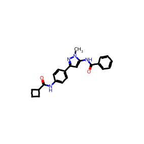 Cn1nc(-c2ccc(NC(=O)C3CCC3)cc2)cc1NC(=O)c1ccccc1